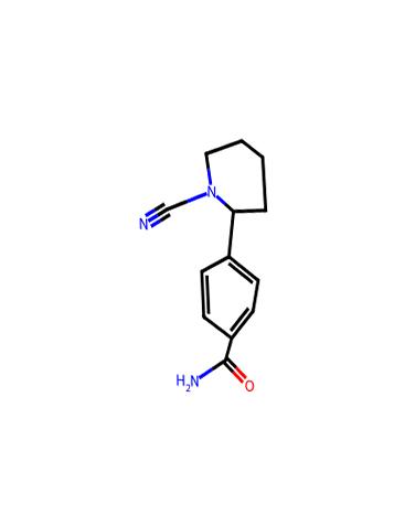 N#CN1CCCCC1c1ccc(C(N)=O)cc1